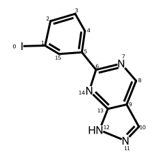 Ic1cccc(-c2ncc3cn[nH]c3n2)c1